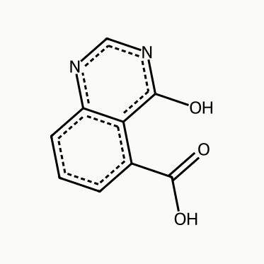 O=C(O)c1cccc2ncnc(O)c12